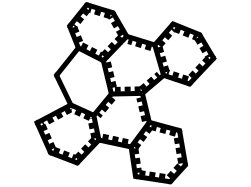 c1ccc2c(c1)c1cccc3c1c1c4c(cccc4c4ccccc4c21)C3